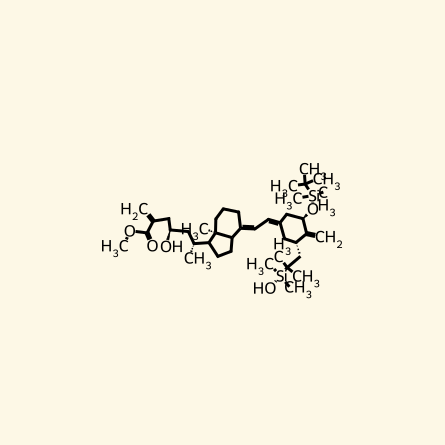 C=C(C[C@H](O)C[C@@H](C)C1CCC2/C(=C/C=C3\C[C@@H](CC(C)(C)[Si](C)(C)O)C(=C)[C@H](O[Si](C)(C)C(C)(C)C)C3)CCC[C@@]21C)C(=O)OC